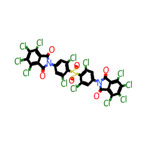 O=C1c2c(Cl)c(Cl)c(Cl)c(Cl)c2C(=O)N1c1cc(Cl)c(S(=O)(=O)c2c(Cl)cc(N3C(=O)c4c(Cl)c(Cl)c(Cl)c(Cl)c4C3=O)cc2Cl)c(Cl)c1